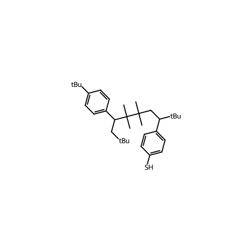 CC(C)(C)CC(c1ccc(C(C)(C)C)cc1)C(C)(C)C(C)(C)CC(c1ccc(S)cc1)C(C)(C)C